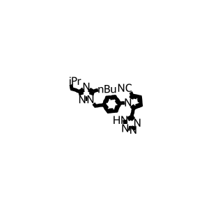 CCCCc1nc(CC(C)C)nn1Cc1ccc(-n2c(C#N)ccc2-c2nnn[nH]2)cc1